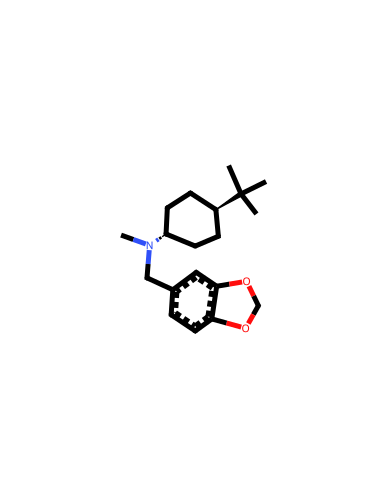 CN(Cc1ccc2c(c1)OCO2)[C@H]1CC[C@H](C(C)(C)C)CC1